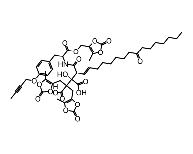 CC#CCOc1ccc(C[C@H](NC(=O)[C@@H](C=CCCCCCCC(=O)CCCCCCC)[C@@](O)(C(=O)O)C(Cc2oc(=O)oc2C)(Cc2oc(=O)oc2C)C(=O)O)C(=O)OCc2oc(=O)oc2C)cc1